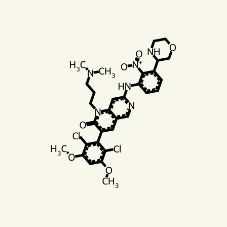 COc1cc(OC)c(Cl)c(-c2cc3cnc(Nc4cccc(C5COCCN5)c4[N+](=O)[O-])cc3n(CCCN(C)C)c2=O)c1Cl